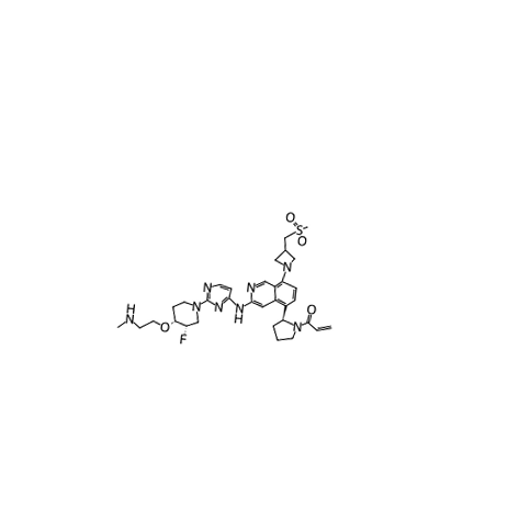 C=CC(=O)N1CCC[C@H]1c1ccc(N2CC(CS(C)(=O)=O)C2)c2cnc(Nc3ccnc(N4CC[C@@H](OCCNC)[C@@H](F)C4)n3)cc12